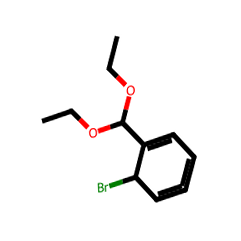 CCOC(OCC)C1=CC=C=CC1Br